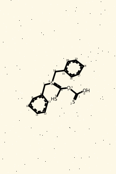 OC(=S)OC(S)=S(Cc1ccccc1)Cc1ccccc1